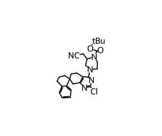 CC(C)(C)OC(=O)N1CCN(c2nc(Cl)nc3c2CCC2(CCCc4ccccc42)C3)CC1CC#N